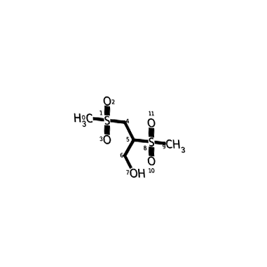 CS(=O)(=O)CC(CO)S(C)(=O)=O